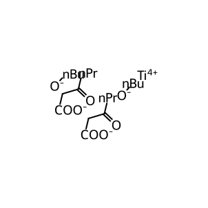 CCCC(=O)CC(=O)[O-].CCCC(=O)CC(=O)[O-].CCCC[O-].CCCC[O-].[Ti+4]